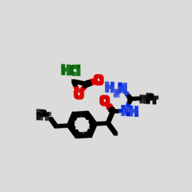 CCCC(N)NC(=O)C(C)c1ccc(CC(C)C)cc1.Cl.O=C1CO1